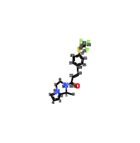 CC1c2cccn2CCN1C(=O)C=Cc1ccc(SC(F)(F)F)cc1